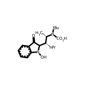 CCC[C@H](C1C(=O)c2ccccc2N1O)[C@H](C)N(C(=O)O)C(C)(C)C